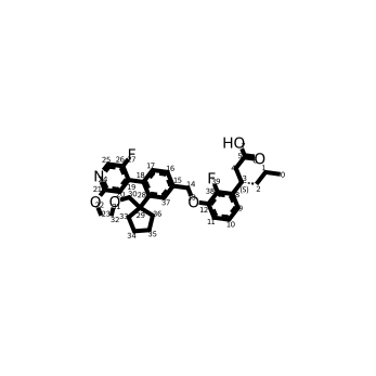 CCC[C@@H](CC(=O)O)c1cccc(OCc2ccc(-c3cc(OC)ncc3F)c(C3(COC)CCCC3)c2)c1F